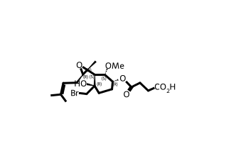 CO[C@@H]1[C@H](OC(=O)CCC(=O)O)CC[C@](O)(CBr)[C@H]1[C@@]1(C)O[C@@H]1CC=C(C)C